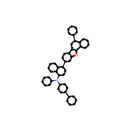 c1ccc(-c2ccc(N(c3ccccc3)c3ccc(-c4ccc5c(c4)oc4c6ccccc6c(-c6ccccc6)cc54)c4ccccc34)cc2)cc1